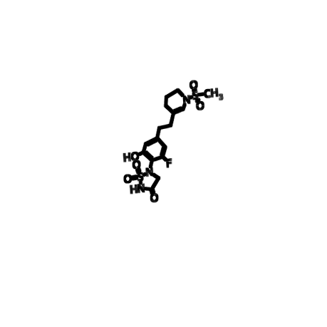 CS(=O)(=O)N1C=C(CCc2cc(O)c(N3CC(=O)NS3(=O)=O)c(F)c2)CCC1